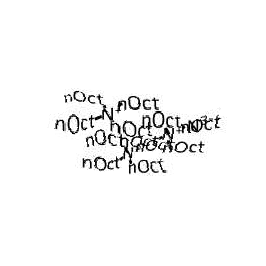 CCCCCCCC[N+](CCCCCCCC)(CCCCCCCC)CCCCCCCC.CCCCCCCC[N+](CCCCCCCC)(CCCCCCCC)CCCCCCCC.CCCCCCCC[N+](CCCCCCCC)(CCCCCCCC)CCCCCCCC.[N-3]